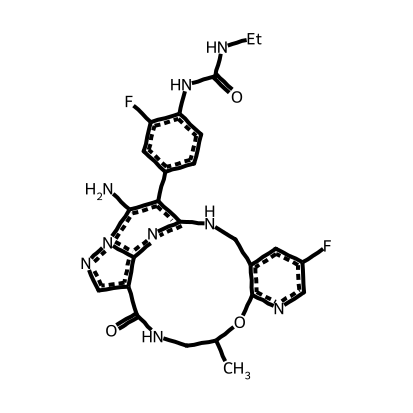 CCNC(=O)Nc1ccc(-c2c3nc4c(cnn4c2N)C(=O)NCC(C)Oc2ncc(F)cc2CN3)cc1F